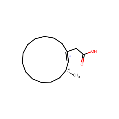 C[C@H]1/C=C(/CC(=O)O)CCCCCCCCCCCC1